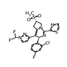 CS(=O)(=O)[C@H]1CC2=C(c3ccn(C(F)F)n3)[C@H](c3ccc(F)cc3Cl)N=C(c3nccs3)N2C1